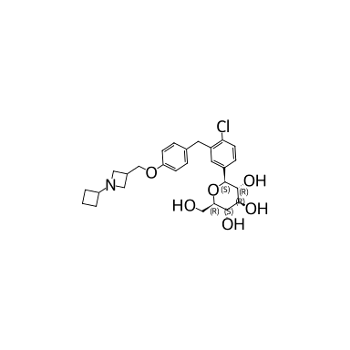 OC[C@H]1O[C@@H](c2ccc(Cl)c(Cc3ccc(OCC4CN(C5CCC5)C4)cc3)c2)[C@H](O)[C@@H](O)[C@@H]1O